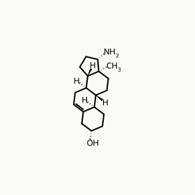 C[C@]12CC[C@H]3[C@@H](CC=C4C[C@@H](O)CC[C@@H]43)[C@@H]1CC[C@@H]2N